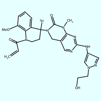 [2H]C1(N2Cc3cnc(Nc4cnn(CCO)c4)nc3N(C)C2=O)CCN(C(=O)C=C)c2c(OC)cccc21